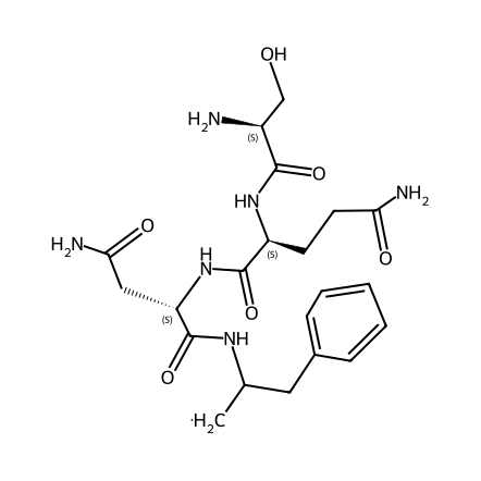 [CH2]C(Cc1ccccc1)NC(=O)[C@H](CC(N)=O)NC(=O)[C@H](CCC(N)=O)NC(=O)[C@@H](N)CO